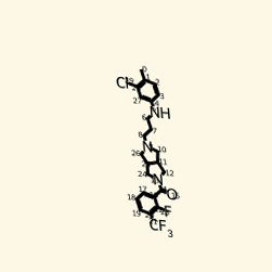 Cc1ccc(NCCCN2CC3CN(C(=O)c4cccc(C(F)(F)F)c4F)CC3C2)cc1Cl